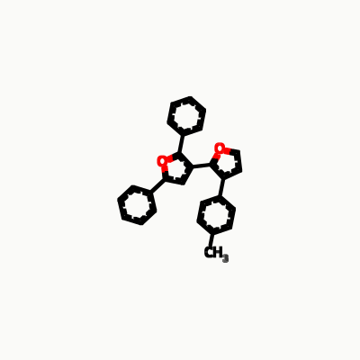 Cc1ccc(-c2ccoc2-c2cc(-c3ccccc3)oc2-c2ccccc2)cc1